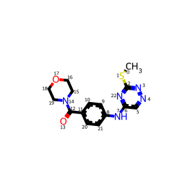 CSc1nncc(Nc2ccc(C(=O)N3CCOCC3)cc2)n1